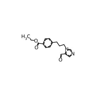 CCOC(=O)c1ccc(CCCn2cncc2C=O)cc1